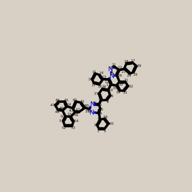 c1ccc(-c2cc(-c3ccc(-c4c(-c5ccccc5)n5ncc(-c6ccccc6)c5c5ccccc45)cc3)nc(-c3ccc4c5ccccc5c5ccccc5c4c3)n2)cc1